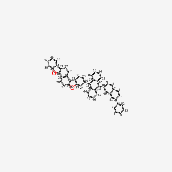 c1ccc(-c2ccc3ccc(-c4c5ccccc5c(-c5ccc6c(c5)oc5ccc7c(ccc8c9ccccc9oc87)c56)c5ccccc45)cc3c2)cc1